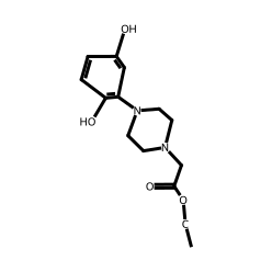 CCOC(=O)CN1CCN(c2cc(O)ccc2O)CC1